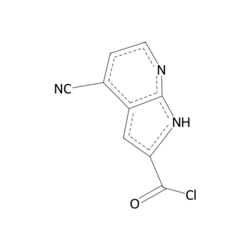 N#Cc1ccnc2[nH]c(C(=O)Cl)cc12